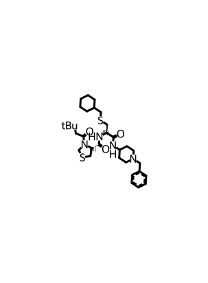 CC(C)(C)CC(=O)N1CSC[C@H]1C(=O)N[C@@H](CSCC1CCCCC1)C(=O)NC1CCN(Cc2ccccc2)CC1